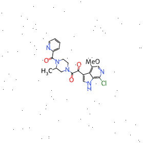 COc1cnc(Cl)c2[nH]cc(C(=O)C(=O)N3CCN(C(=O)c4ccccn4)C(C)C3)c12